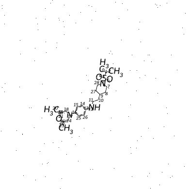 CC(C)S(=O)(=O)N1CCC(CCNc2ccc(N3C[C@@H](C)O[C@@H](C)C3)cc2)CC1